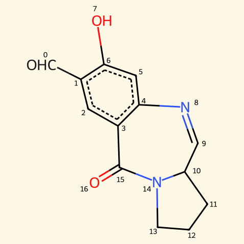 O=Cc1cc2c(cc1O)N=CC1CCCN1C2=O